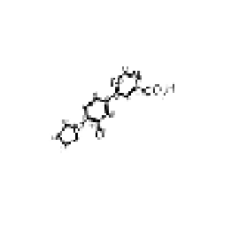 O=C(O)c1cc(-c2ccc(N3CCCC3)c(Cl)c2)ncn1